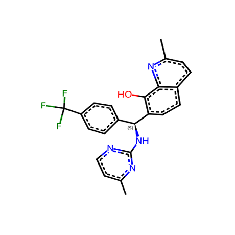 Cc1ccnc(N[C@@H](c2ccc(C(F)(F)F)cc2)c2ccc3ccc(C)nc3c2O)n1